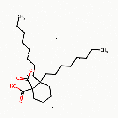 CCCCCCCCC1(CCCCCCCC)CCCCC1(C(=O)O)C(=O)O